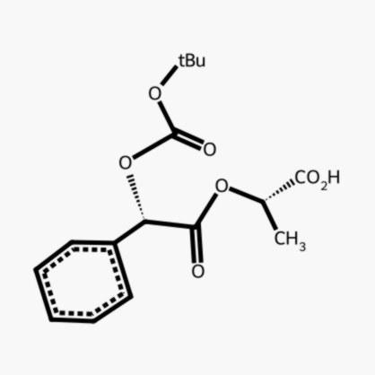 C[C@H](OC(=O)[C@@H](OC(=O)OC(C)(C)C)c1ccccc1)C(=O)O